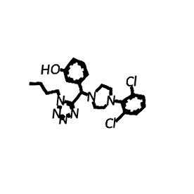 CCCCn1nnnc1C(c1cccc(O)c1)N1CCN(c2c(Cl)cccc2Cl)CC1